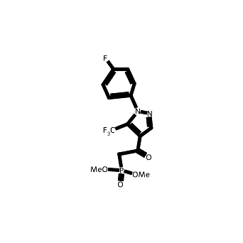 COP(=O)(CC(=O)c1cnn(-c2ccc(F)cc2)c1C(F)(F)F)OC